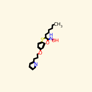 CCCCCCC(Sc1ccc(OCCCc2ccccn2)cc1)C(=O)NO